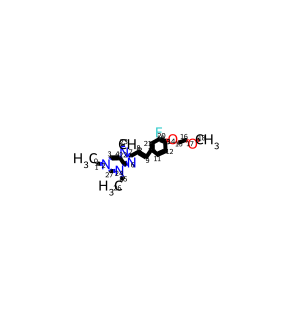 CCN1C=C2C(=NC(/C=C/c3ccc(OCCOC)c(F)c3)N2C)N(CC)C1